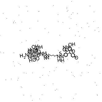 CC(=O)N[C@H]1[C@H]([C@H](OC(=O)NCc2cn(CCCCCNC(=S)Nc3ccc(-c4c5ccc(=O)cc-5oc5cc(O)ccc45)c(C(=O)ON)c3)nn2)[C@H](O)CO)OC(C(=O)O)=C[C@@H]1NC(=N)N